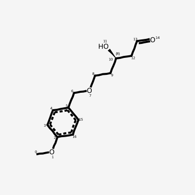 COc1ccc(COCC[C@@H](O)CC=O)cc1